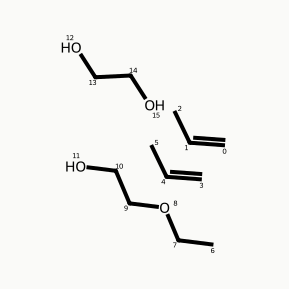 C=CC.C=CC.CCOCCO.OCCO